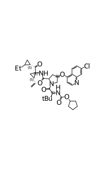 C=C[C@@H]1C[C@]1(NC(=O)C1C[C@@H](Oc2ccnc3cc(Cl)ccc23)CN1C(=O)[C@@H](NC(=O)OC1CCCC1)C(C)(C)C)C(=O)[C@H]1CC1CC